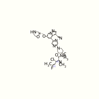 C=N/C(C(=O)NC1(C)CCN(c2cnc(-c3cc(OC[C@H]4CNCCO4)cn4ncc(C#N)c34)cn2)CC1)=C(Cl)\C=C(/C)F